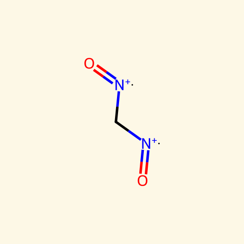 O=[N+]C[N+]=O